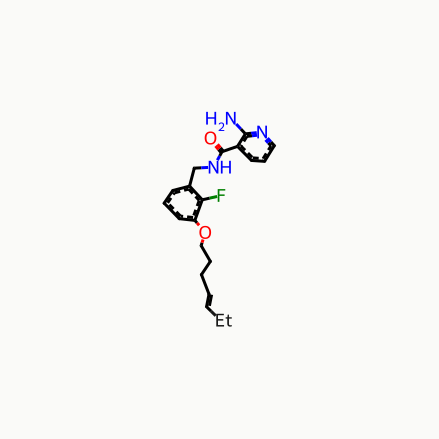 CC/C=C/CCCOc1cccc(CNC(=O)c2cccnc2N)c1F